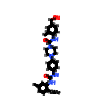 COc1ccc(C)cc1NC(=O)Nc1ccc(N2CCN(C(=O)Nc3ccc(CO)cc3C)CC2)cc1